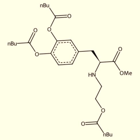 CCCCC(=O)OCCN[C@@H](Cc1ccc(OC(=O)CCCC)c(OC(=O)CCCC)c1)C(=O)OC